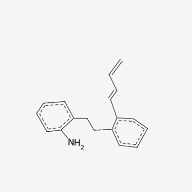 C=CC=Cc1ccccc1CCc1ccccc1N